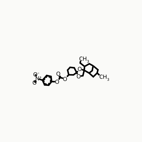 CCC1CC2CC(C)CC(C2)C12COC1(CCCC(OC(=O)Oc3ccc([N+](=O)[O-])cc3)C1)O2